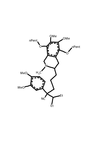 CCCCCOc1c2c(c(OCCCCC)c(OC)c1OC)CN(C)C(CCCC(C#N)(c1ccc(OC)c(OC)c1)C(CC)CC)C2